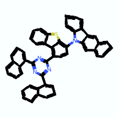 c1ccc2cc3c(cc2c1)c1ccccc1n3-c1ccc(-c2nc(-c3cccc4ccccc34)nc(-c3cccc4ccccc34)n2)c2c1sc1ccccc12